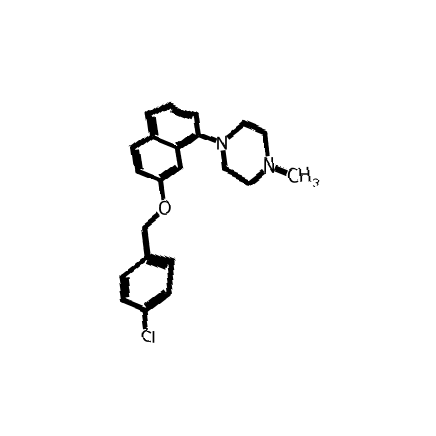 CN1CCN(c2cccc3ccc(OCc4ccc(Cl)cc4)cc23)CC1